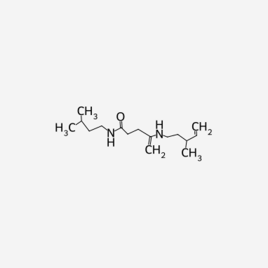 C=CC(C)CCNC(=C)CCC(=O)NCCC(C)C